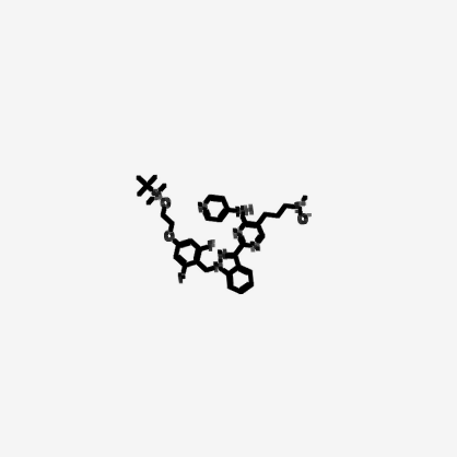 C[S@@+]([O-])CCCc1cnc(-c2nn(Cc3c(F)cc(OCCO[Si](C)(C)C(C)(C)C)cc3F)c3ccccc23)nc1Nc1ccncc1